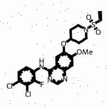 C=CS(=O)(=O)N1CCC(Oc2cc3c(Nc4ccc(Cl)c(Cl)c4F)ncnc3cc2OC)CC1